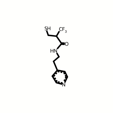 O=C(NCCc1ccncc1)C(CS)C(F)(F)F